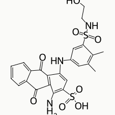 Cc1cc(Nc2cc(S(=O)(=O)O)c(N)c3c2C(=O)c2ccccc2C3=O)cc(S(=O)(=O)NCCO)c1C